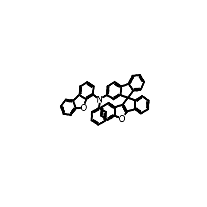 c1ccc(N(c2ccc3c(c2)C2(c4ccccc4-3)c3ccccc3-c3oc4ccccc4c32)c2cccc3c2oc2ccccc23)cc1